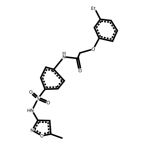 CCc1cccc(OCC(=O)Nc2ccc(S(=O)(=O)Nc3cc(C)on3)cc2)c1